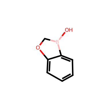 OB1COc2ccccc21